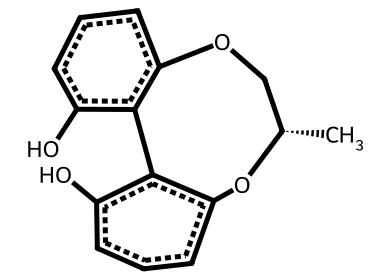 C[C@H]1COc2cccc(O)c2-c2c(O)cccc2O1